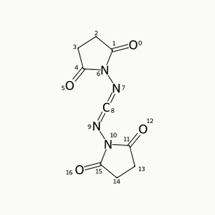 O=C1CCC(=O)N1N=C=NN1C(=O)CCC1=O